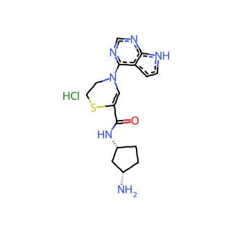 Cl.N[C@H]1CC[C@@H](NC(=O)C2=CN(c3ncnc4[nH]ccc34)CCS2)C1